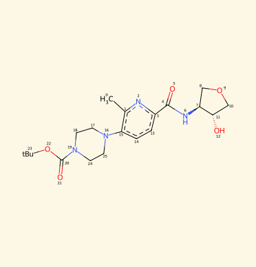 Cc1nc(C(=O)N[C@H]2COC[C@@H]2O)ccc1N1CCN(C(=O)OC(C)(C)C)CC1